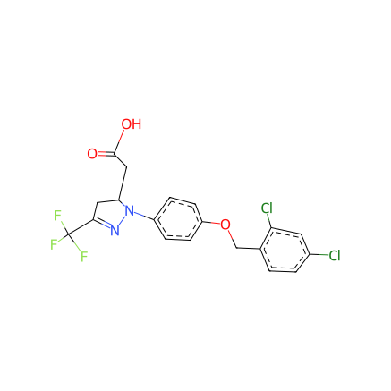 O=C(O)CC1CC(C(F)(F)F)=NN1c1ccc(OCc2ccc(Cl)cc2Cl)cc1